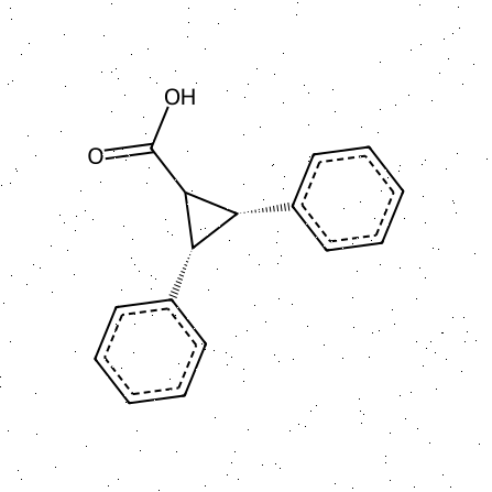 O=C(O)C1[C@@H](c2ccccc2)[C@H]1c1ccccc1